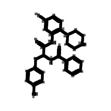 O=C(NC(Cc1ccc(O)cc1)C(=O)Nc1cc(F)ccc1N1CCNCC1)c1ccccc1